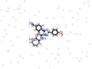 COc1ccc(-c2nc3c4ccc(C#N)cc4nc(N[C@@H]4CCCCNC4=O)n3n2)cc1